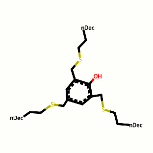 CCCCCCCCCCCCSCc1cc(CSCCCCCCCCCCCC)c(O)c(CSCCCCCCCCCCCC)c1